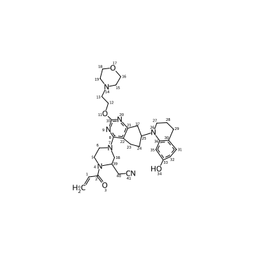 C=CC(=O)N1CCN(c2nc(OCCN3CCOCC3)nc3c2CCC(N2CCCc4ccc(O)cc42)C3)CC1CC#N